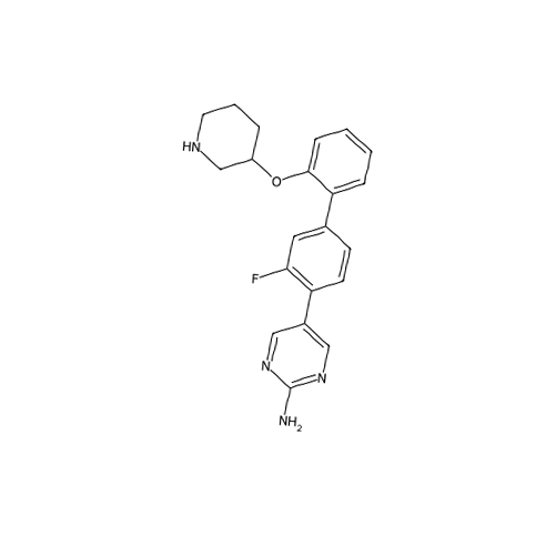 Nc1ncc(-c2ccc(-c3ccccc3OC3CCCNC3)cc2F)cn1